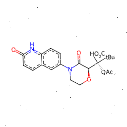 CC(=O)O[C@@](C(=O)O)([C@H]1OCCN(c2ccc3[nH]c(=O)ccc3c2)C1=O)C(C)(C)C